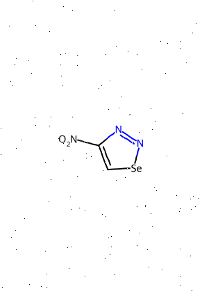 O=[N+]([O-])c1c[se]nn1